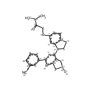 CN(C)C(=O)COc1ccc2c(c1)N(c1nc(-c3cccc(C#N)c3)nc3c1C[S+]([O-])C3)CC2